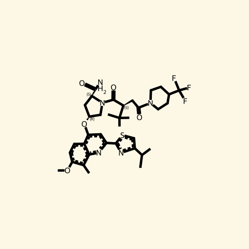 COc1ccc2c(O[C@@H]3C[C@@H](C(N)=O)N(C(=O)[C@@H](CC(=O)N4CCC(C(F)(F)F)CC4)C(C)(C)C)C3)cc(-c3nc(C(C)C)cs3)nc2c1C